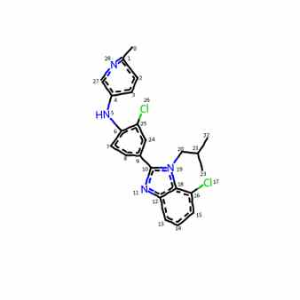 Cc1ccc(Nc2ccc(-c3nc4cccc(Cl)c4n3CC(C)C)cc2Cl)cn1